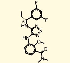 CC[C@@H](Nc1nsnc1Nc1cccc(C(=O)N(C)C)c1OC)c1cc(F)cc(F)c1